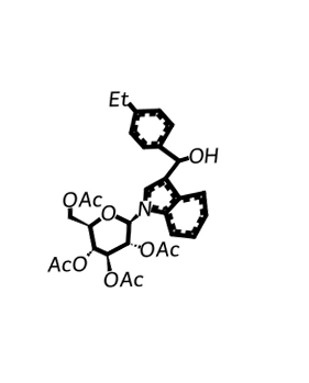 CCc1ccc(C(O)c2cn([C@@H]3O[C@H](COC(C)=O)[C@@H](OC(C)=O)[C@H](OC(C)=O)[C@H]3OC(C)=O)c3ccccc23)cc1